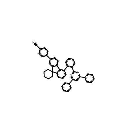 N#Cc1ccc(-c2ccc3c(c2)C2(CCCCC2)c2cccc(-c4ccccc4-c4nc(-c5ccccc5)cc(-c5ccccc5)n4)c2-3)cc1